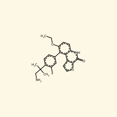 CCOc1ccc2[nH]c(=O)c3sccc3c2c1-c1ccc(C(C)(C)CN)c(F)c1